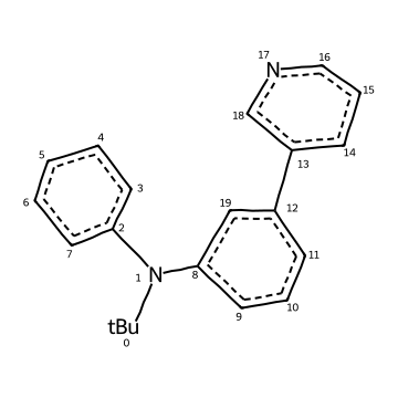 CC(C)(C)N(c1ccccc1)c1cccc(-c2cccnc2)c1